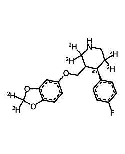 [2H]C1([2H])Oc2ccc(OCC3[C@H](c4ccc(F)cc4)C([2H])([2H])CNC3([2H])[2H])cc2O1